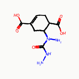 NNC(=O)N(N)C1CC(C(=O)O)=CCC1C(=O)O